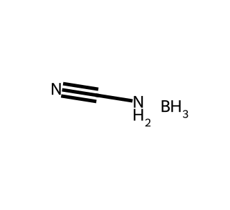 B.N#CN